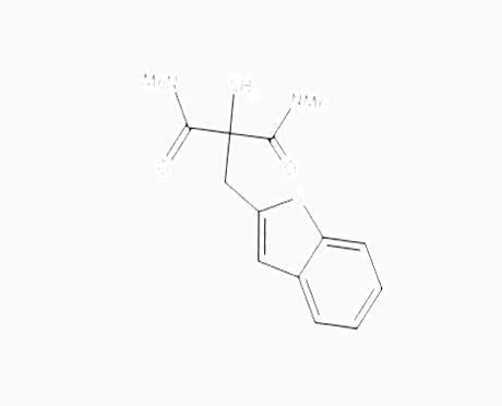 CNC(=O)C(C)(Cc1cc2ccccc2s1)C(=O)NC